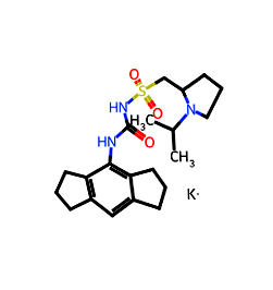 CC(C)N1CCCC1CS(=O)(=O)NC(=O)Nc1c2c(cc3c1CCC3)CCC2.[K]